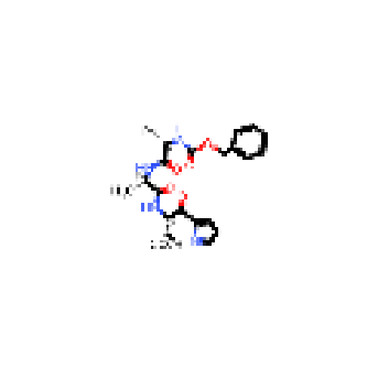 CC(C)[C@H](NC(=O)OCc1ccccc1)C(=O)N[C@@H](C)C(=O)N[C@@H](CC(=O)O)C(=O)C1=CCC=N1